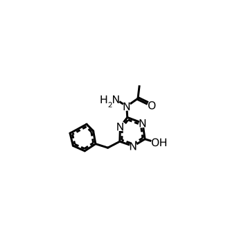 CC(=O)N(N)c1nc(O)nc(Cc2ccccc2)n1